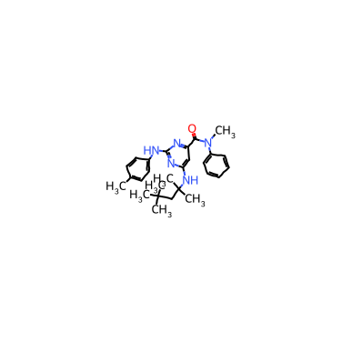 Cc1ccc(Nc2nc(NC(C)(C)CC(C)(C)C)cc(C(=O)N(C)c3ccccc3)n2)cc1